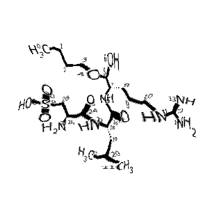 CCCCOC(O)[C@H](CCCNC(=N)N)NC(=O)[C@H](CC(C)C)NC(=O)[C@@H](N)CS(=O)(=O)O